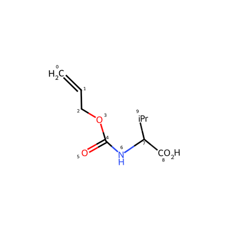 C=CCOC(=O)NC(C(=O)O)C(C)C